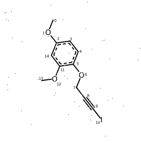 COc1ccc(OCC#CI)c(OC)c1